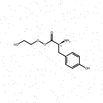 N[C@@H](Cc1ccc(O)cc1)C(=O)OOCCO